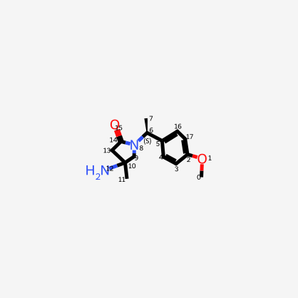 COc1ccc([C@H](C)N2CC(C)(N)CC2=O)cc1